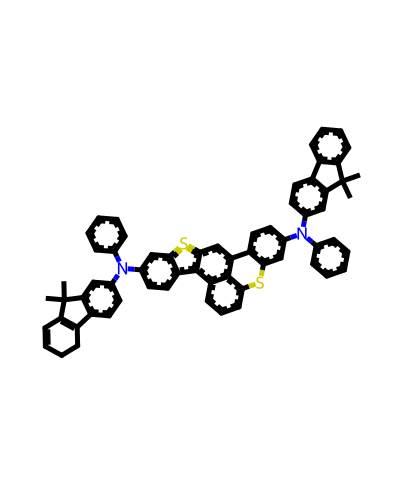 CC1(C)C2=C(CCC=C2)c2ccc(N(c3ccccc3)c3ccc4c(c3)sc3cc5c6c(cccc6c34)Sc3cc(N(c4ccccc4)c4ccc6c(c4)C(C)(C)c4ccccc4-6)ccc3-5)cc21